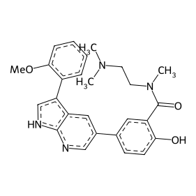 COc1ccccc1-c1c[nH]c2ncc(-c3ccc(O)c(C(=O)N(C)CCN(C)C)c3)cc12